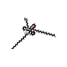 CCCCCCCCCCCCCCCCNC(=O)C1=C(C[n+]2ccccc2)N(CCCCCC)C(C[n+]2ccccc2)=C(C(=O)NCCCCCCCCCCCCCCCC)C1c1ccccc1.[Br-].[Br-]